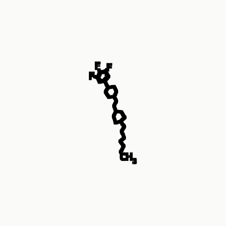 CCCCCCCC1CCC(CCC2CCC(c3cc(F)c(F)c(F)c3)CC2)CC1